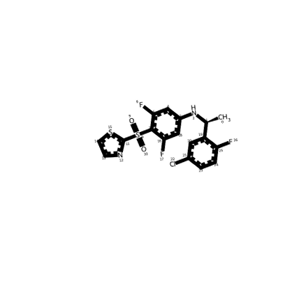 C[C@H](Nc1cc(F)c(S(=O)(=O)c2n[c]cs2)c(F)c1)c1cc(Cl)ccc1F